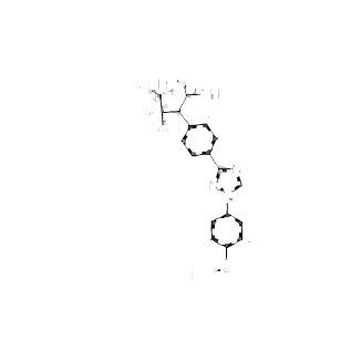 CC(N)C(c1ccc(-c2ncn(-c3ccc(OC(F)(F)F)cc3)n2)cc1)[C@](O)(C(=O)O)[C@@H](O)C(=O)O